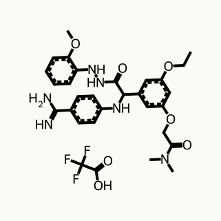 CCOc1cc(OCC(=O)N(C)C)cc(C(Nc2ccc(C(=N)N)cc2)C(=O)NNc2ccccc2OC)c1.O=C(O)C(F)(F)F